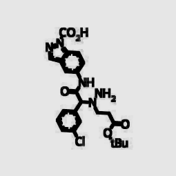 CC(C)(C)OC(=O)CCN(N)C(C(=O)Nc1ccc2c(cnn2C(=O)O)c1)c1cccc(Cl)c1